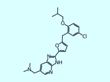 CC(C)COc1ccc(Cl)cc1Cc1ccc(-c2nc3cc(CN(C)C)cnc3[nH]2)o1